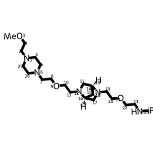 COCCN1CCN(CCOCCN2C[C@@H]3C[C@H]2CN3CCOCCNC(C)C)CC1